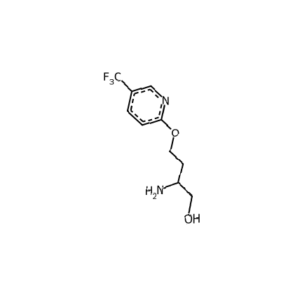 NC(CO)CCOc1ccc(C(F)(F)F)cn1